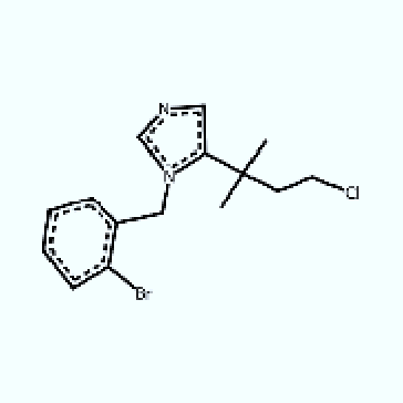 CC(C)(CCCl)c1cncn1Cc1ccccc1Br